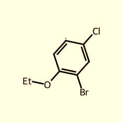 CCOc1c[c]c(Cl)cc1Br